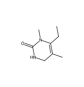 CCC1=C(C)CNC(=O)N1C